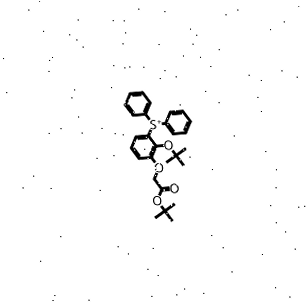 CC(C)(C)OC(=O)COc1cccc([S+](c2ccccc2)c2ccccc2)c1OC(C)(C)C